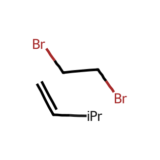 BrCCBr.C=CC(C)C